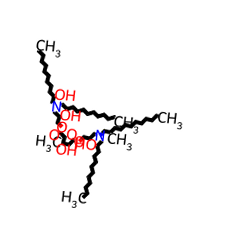 CCCCCCCCCCC(C)CN(CCCOC(=O)CC(C)(O)CC(=O)OCCCN(CC(O)CCCCCCCCCC)CC(O)CCCCCCCCCC)CC(O)CCCCCCCCCC